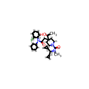 C=C(O)C1(CC(=O)N(c2ccccc2)c2ccccc2F)CCN(C(=O)N(C)C(C2CC2)C2CC2)CC1